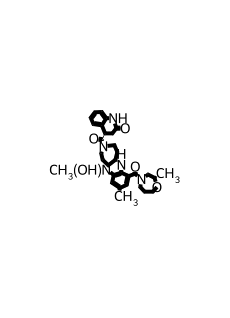 Cc1cc(C(=O)N2CCCO[C@H](C)C2)c(N[C@@H]2CCCN(C(=O)[C@H]3CC(=O)Nc4ccccc43)CC2)c(N(C)O)c1